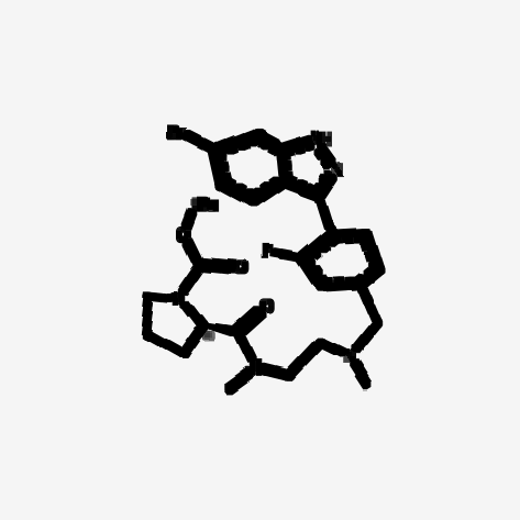 CN(CCN(C)C(=O)[C@H]1CCCN1C(=O)OC(C)(C)C)Cc1ccc(-c2n[nH]c3cc(Br)ccc23)c(F)c1